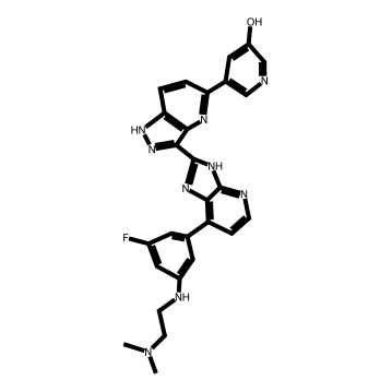 CN(C)CCNc1cc(F)cc(-c2ccnc3[nH]c(-c4n[nH]c5ccc(-c6cncc(O)c6)nc45)nc23)c1